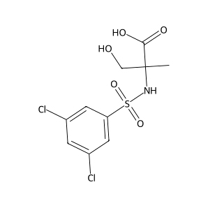 CC(CO)(NS(=O)(=O)c1cc(Cl)cc(Cl)c1)C(=O)O